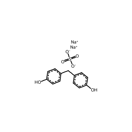 O=S(=O)([O-])[O-].Oc1ccc(Cc2ccc(O)cc2)cc1.[Na+].[Na+]